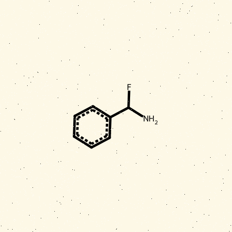 NC(F)c1ccccc1